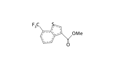 COC(=O)c1csc2c(C(F)(F)F)cccc12